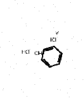 Cl.Cl.Cl.[V].c1ccccc1